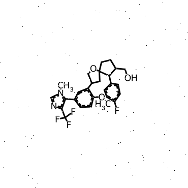 COc1ccc(-c2c(C(F)(F)F)ncn2C)cc1C1COC2(CCC(CO)C2c2ccc(F)cc2)C1